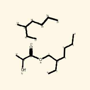 CCCCC(CC)COC(=O)C(C)O.[CH2]C(CC)CCCC